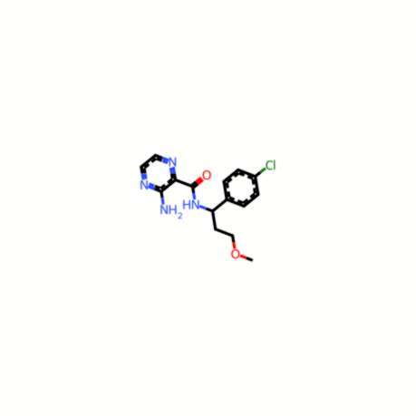 COCCC(NC(=O)c1nccnc1N)c1ccc(Cl)cc1